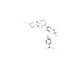 COCC(C)(C)C(=O)n1nc(C2CCCN(S(=O)(=O)N3CCC(O)C3)C2C)cc1SCc1ccc(C(=N)N)cc1